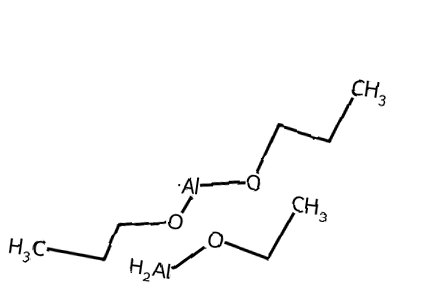 CCC[O][Al][O]CCC.CC[O][AlH2]